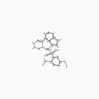 CCc1ccc(OC)c(S(=O)(=O)Nc2noc3cccc(C4=CCCCC4)c23)c1